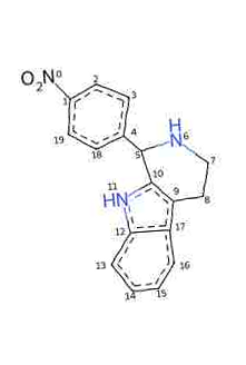 O=[N+]([O-])c1ccc(C2NCCc3c2[nH]c2ccccc32)cc1